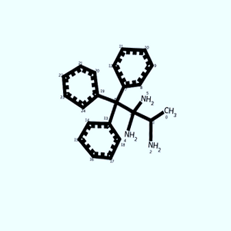 CC(N)C(N)(N)C(c1ccccc1)(c1ccccc1)c1ccccc1